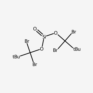 CC(C)(C)C(Br)(Br)O[Si](=O)OC(Br)(Br)C(C)(C)C